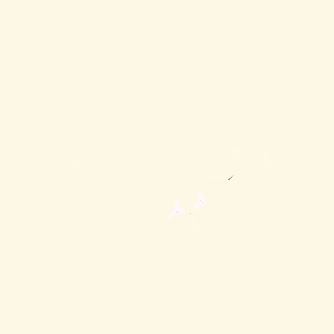 CCC(C)C(O)CCc1ccc2c(c1)CCn1c-2cc(OC[C@@H]2COCCO2)nc1=O